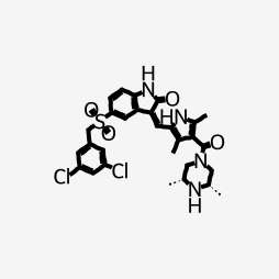 Cc1[nH]c(/C=C2\C(=O)Nc3ccc(S(=O)(=O)Cc4cc(Cl)cc(Cl)c4)cc32)c(C)c1C(=O)N1C[C@@H](C)N[C@@H](C)C1